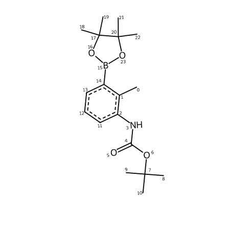 Cc1c(NC(=O)OC(C)(C)C)cccc1B1OC(C)(C)C(C)(C)O1